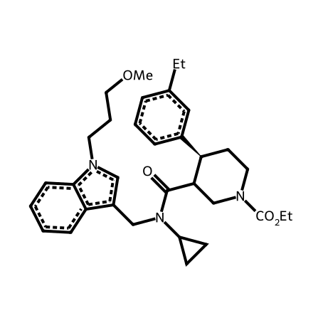 CCOC(=O)N1CC[C@H](c2cccc(CC)c2)C(C(=O)N(Cc2cn(CCCOC)c3ccccc23)C2CC2)C1